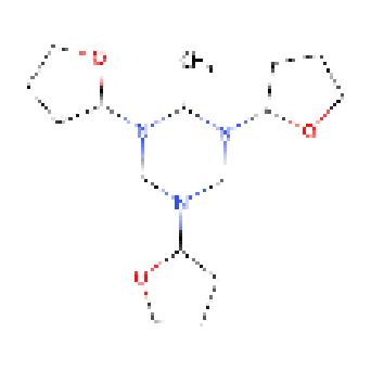 CC1N(C2CCCO2)CN(C2CCCO2)CN1C1CCCO1